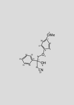 COc1ccc(OCC(O)(CC#N)c2ccccc2)cc1